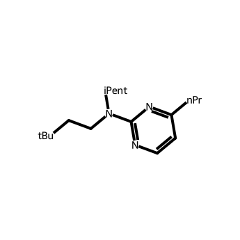 CCCc1ccnc(N(CCC(C)(C)C)C(C)CCC)n1